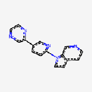 c1cnc(-c2ccc(-n3ccc4ccncc43)nc2)cn1